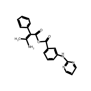 CC(N)=C(C(=O)OC(=O)c1cccc(Nc2ncccn2)c1)c1ccccc1